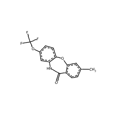 Cc1ccc2c(c1)Oc1ccc(OC(F)(F)F)cc1NC2=O